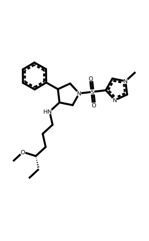 CC[C@@H](CCCNC1CN(S(=O)(=O)c2cn(C)cn2)CC1c1ccccc1)OC